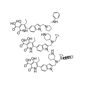 CCc1c(-c2ccc3c(c2)cc(CN(CC2CC2)C2CCCNC2)n3C)[nH]c(=O)c(C(=O)O)c1O.CCc1c(-c2ccc3c(c2)cc(CN(CC2CC2)C2CCNCC2)n3C)[nH]c(=O)c(C(=O)O)c1O.CCc1c(-c2ccc3c(c2)cc(CN2CCC[C@H]2CNc2ccccc2)n3C)[nH]c(=O)c(C(=O)O)c1O.Cl.Cl.Cl.Cl